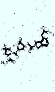 CC(C)Cc1cccc2c1CN(C(=O)C[C@@H]1C[C@@H](C(=O)N3CC(F)(F)C[C@H]3C(N)=O)NC1=O)C2